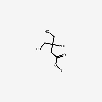 CCCCC(CO)(CO)CC(=O)OBr